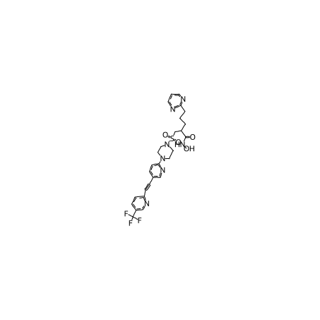 O=C(NO)C(CCCc1ncccn1)CS(=O)(=O)N1CCN(c2ccc(C#Cc3ccc(C(F)(F)F)cn3)cn2)CC1